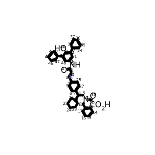 O=C(/C=C/c1ccc(C(CN(Cc2ccccc2)C(=O)C(=O)O)C2CCCCC2)cc1)Nc1cc(-c2ccccc2)c(O)c(-c2ccccc2)c1